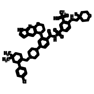 CC1(C)CCC(CN2CCN(c3ccc(C(=O)NS(=O)(=O)c4ccc(NCC5(F)CCOCC5)c(S(=N)(=O)C(F)(F)F)c4)c(N4CCOc5nc6[nH]ccc6cc54)c3)CC2)=C(c2ccc(Cl)cc2)C1